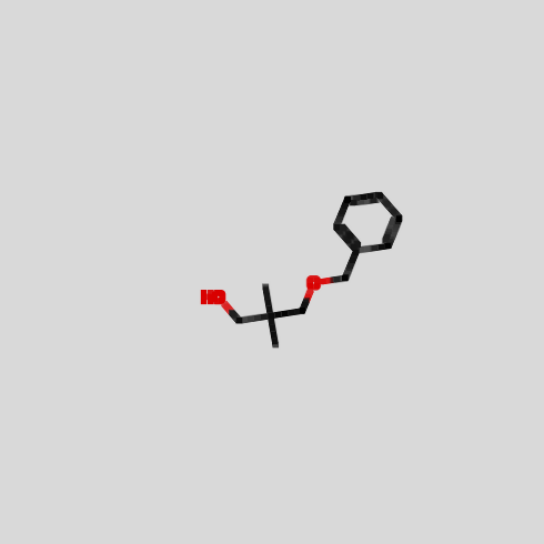 CC(C)(CO)COCc1ccccc1